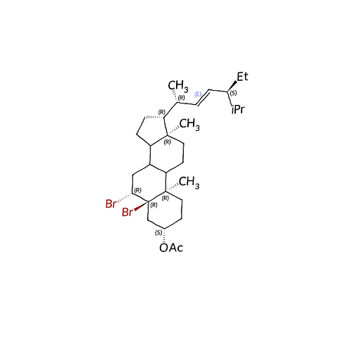 CC[C@H](/C=C/[C@@H](C)[C@H]1CCC2C3C[C@@H](Br)[C@@]4(Br)C[C@@H](OC(C)=O)CC[C@]4(C)C3CC[C@@]21C)C(C)C